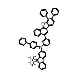 CC1(C)c2ccccc2-c2ccc(N(c3ccc(-c4ccccc4)cc3)c3cccc(-c4cc5c6ccc(-c7ccccc7)c(-c7ccccc7)c6oc5c5ccccc45)c3)cc21